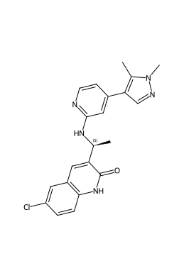 Cc1c(-c2ccnc(N[C@@H](C)c3cc4cc(Cl)ccc4[nH]c3=O)c2)cnn1C